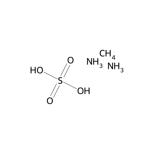 C.N.N.O=S(=O)(O)O